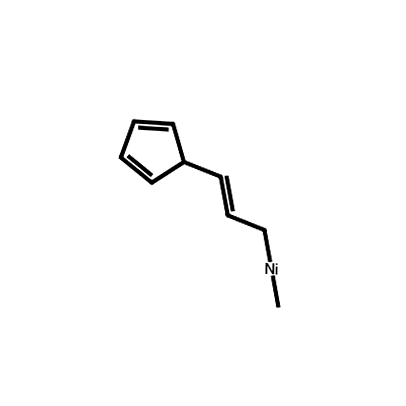 [CH3][Ni][CH2]C=CC1C=CC=C1